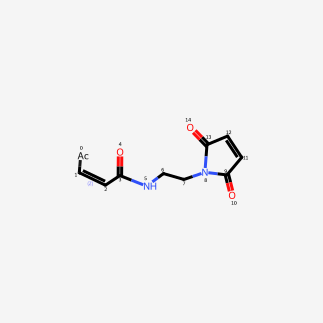 CC(=O)/C=C\C(=O)NCCN1C(=O)C=CC1=O